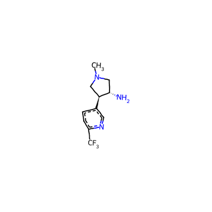 CN1C[C@H](c2ccc(C(F)(F)F)nc2)[C@@H](N)C1